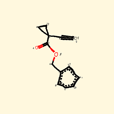 C#CC1(C(=O)OCc2ccccc2)CC1